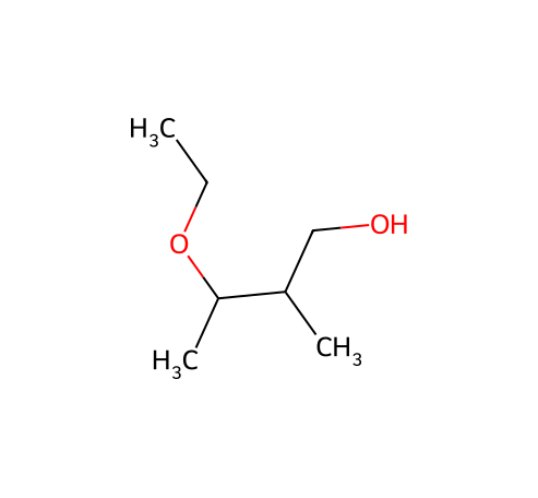 CCOC(C)C(C)CO